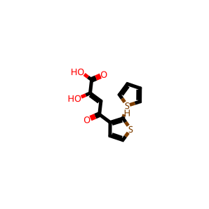 O=C(O)C(O)=CC(=O)c1ccsc1[SH]1C=CC=C1